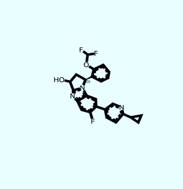 OC1C[C@@H](c2ccccc2OC(F)F)n2c1nc1cc(F)c(-c3ccc(C4CC4)nc3)cc12